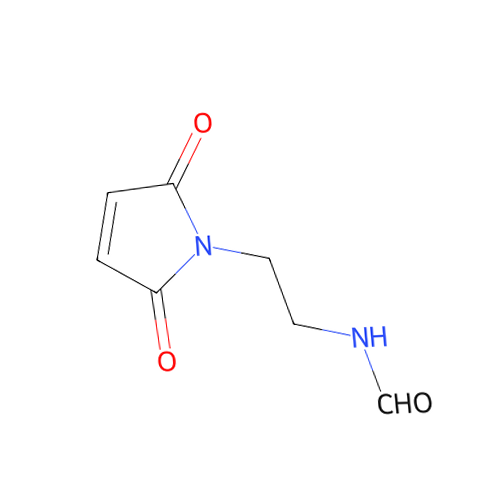 O=CNCCN1C(=O)C=CC1=O